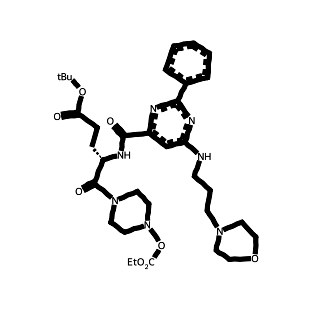 CCOC(=O)ON1CCN(C(=O)[C@H](CCC(=O)OC(C)(C)C)NC(=O)c2cc(NCCCN3CCOCC3)nc(-c3ccccc3)n2)CC1